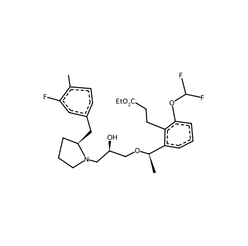 CCOC(=O)CCc1c(OC(F)F)cccc1[C@@H](C)OC[C@H](O)CN1CCC[C@H]1Cc1ccc(C)c(F)c1